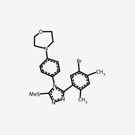 CSc1nnc(-c2cc(Br)c(C)cc2C)n1-c1ccc(N2CCOCC2)cc1